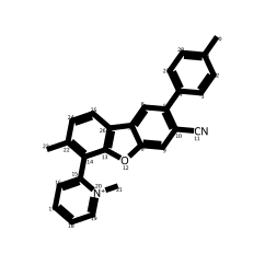 Cc1ccc(-c2cc3c(cc2C#N)oc2c(-c4cccc[n+]4C)c(C)ccc23)cc1